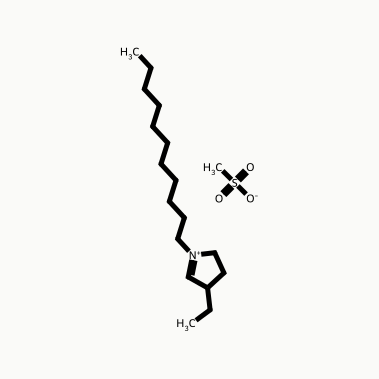 CCCCCCCCCCC[N+]1=CC(CC)CC1.CS(=O)(=O)[O-]